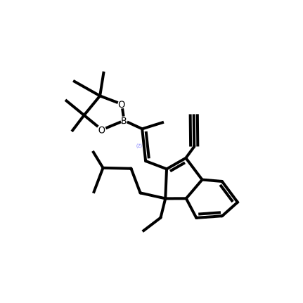 C#CC1=C(/C=C(\C)B2OC(C)(C)C(C)(C)O2)C(CC)(CCC(C)C)C2C=CC=CC12